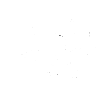 O=C(O)c1ccccc1NC(=O)c1[nH]c2ccccc2c1OC1OC(CO)[C@@H](O)C(O)[C@@H]1O